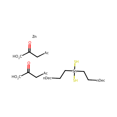 CC(=O)CC(=O)C(=O)O.CC(=O)CC(=O)C(=O)O.CCCCCCCCCCC[CH2][Sn]([SH])([SH])[CH2]CCCCCCCCCCC.[Zn]